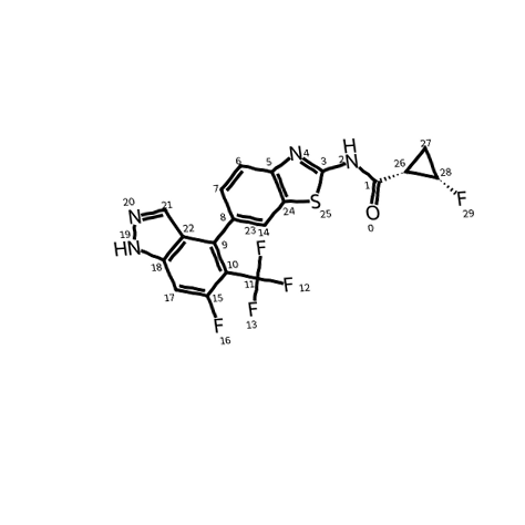 O=C(Nc1nc2ccc(-c3c(C(F)(F)F)c(F)cc4[nH]ncc34)cc2s1)[C@@H]1C[C@@H]1F